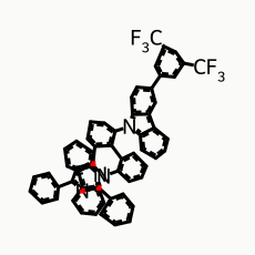 FC(F)(F)c1cc(-c2ccc3c(c2)c2ccccc2n3-c2cccc(-c3cc(-c4ccccc4)nc(-c4ccccc4)n3)c2-c2ccccc2-n2c3ccccc3c3ccccc32)cc(C(F)(F)F)c1